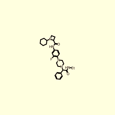 CCNC(=O)C(c1ccccc1)N1CCN(c2ccc(NC(=O)C3CCN3C3CCCCC3)cc2F)CC1